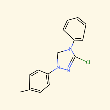 Cc1ccc(N2CN(c3ccccc3)C(Cl)=N2)cc1